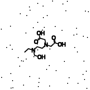 CCN(CO)CCN(CC(=O)O)CC(=O)O